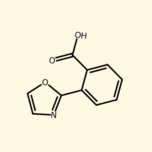 O=C(O)c1ccccc1-c1ncco1